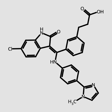 Cn1ccnc1-c1ccc(NC(=C2C(=O)Nc3cc(Cl)ccc32)c2cccc(CCC(=O)O)c2)cc1